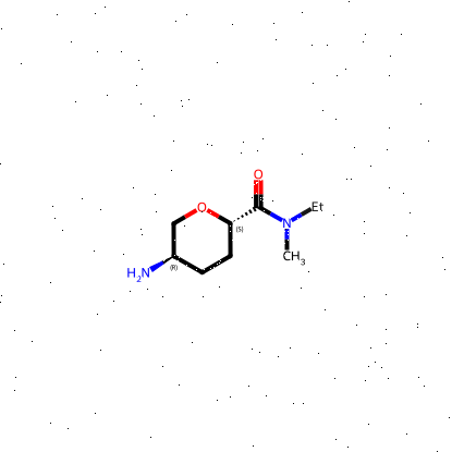 CCN(C)C(=O)[C@@H]1CC[C@@H](N)CO1